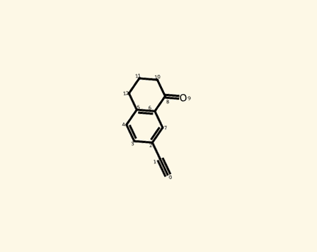 C#Cc1ccc2c(c1)C(=O)CCC2